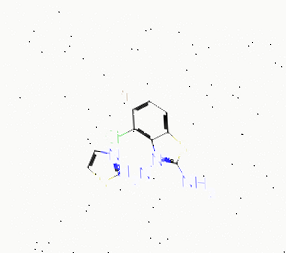 Nc1sc2cccc(Cl)c2[n+]1N.[Br-].c1cscn1